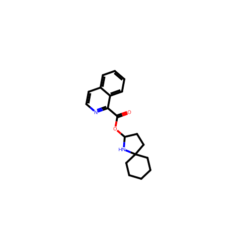 O=C(OC1CCC2(CCCCC2)N1)c1nccc2ccccc12